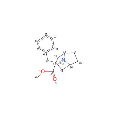 COC(=O)C1(Cc2ccccc2)CC2CCC(C1)N2C